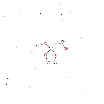 CC(C)O.CCC[Si](OCC)(OCC)OCC